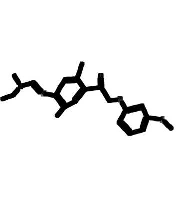 CCN(C)C=Nc1cc(C)c(C(=O)COc2cccc(SC)c2)cc1C